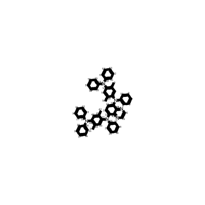 Cc1cc(N(c2ccccc2)c2ccc(N(c3ccccc3)c3cc(C)c(N(c4ccccc4)c4ccccc4)cc3C)c3nccnc23)c(C)cc1N(c1ccccc1)c1ccccc1